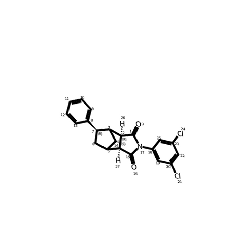 O=C1[C@@H]2C3CC(C[C@H]3c3ccccc3)[C@@H]2C(=O)N1c1cc(Cl)cc(Cl)c1